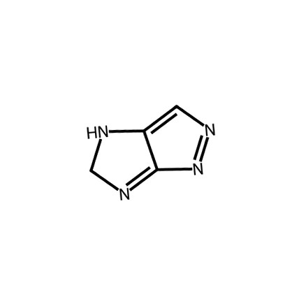 C1=C2NCN=C2N=N1